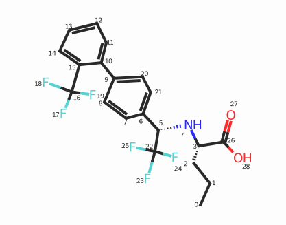 CCC[C@H](N[C@@H](c1ccc(-c2ccccc2C(F)(F)F)cc1)C(F)(F)F)C(=O)O